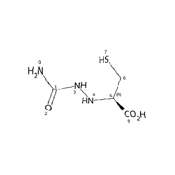 NC(=O)NN[C@@H](CS)C(=O)O